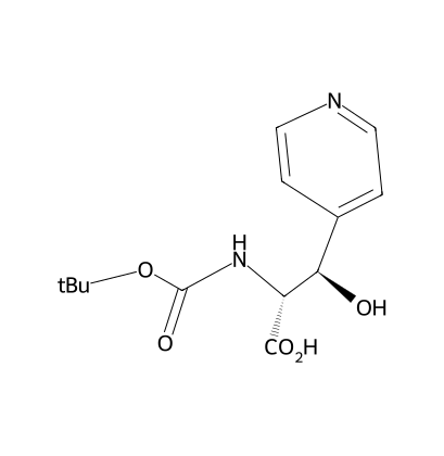 CC(C)(C)OC(=O)N[C@@H](C(=O)O)[C@H](O)c1ccncc1